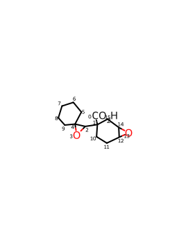 O=C(O)C1(C2OC23CCCCC3)CCC2OC2C1